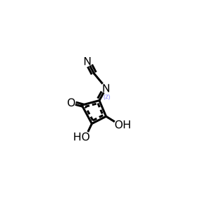 N#C/N=c1/c(O)c(O)c1=O